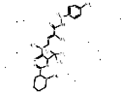 C/C(=C\CN(C)C(=O)C(NC(=O)C1CCCCN1C)C(C)(C)C)C(=O)N[S+]([O-])c1ccc(N)cc1